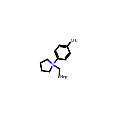 CCCCCCCC[N+]1(c2ccc(C)cc2)CCCC1